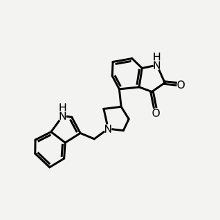 O=C1Nc2cccc(C3CCN(Cc4c[nH]c5ccccc45)C3)c2C1=O